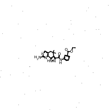 CCOC(=O)c1cccc(NC(=O)c2n[nH]c3c2C(C)(C)Cc2cnc(N)nc2-3)c1